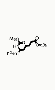 CCCCCC(CCCCC(=O)OCCCC)NC(=O)OC